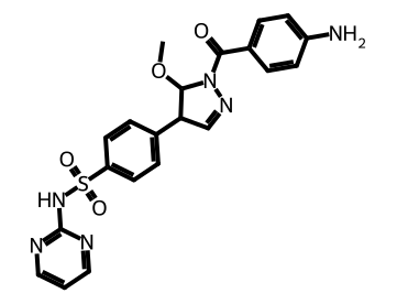 COC1C(c2ccc(S(=O)(=O)Nc3ncccn3)cc2)C=NN1C(=O)c1ccc(N)cc1